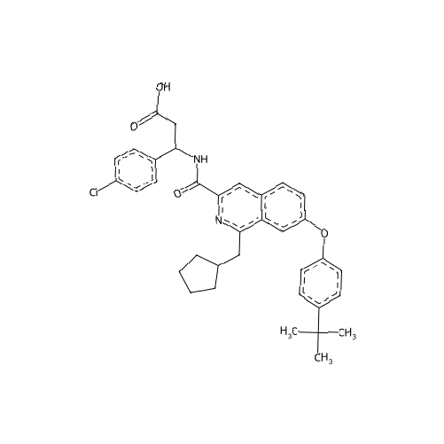 CC(C)(C)c1ccc(Oc2ccc3cc(C(=O)NC(CC(=O)O)c4ccc(Cl)cc4)nc(CC4CCCC4)c3c2)cc1